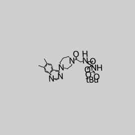 Cc1cc2ncnc(N3CCCN(C(=O)CNS(=O)(=O)NC(=O)OC(C)(C)C)CC3)c2cc1C